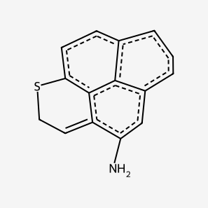 Nc1cc2cccc3ccc4c(c1=CCS4)c32